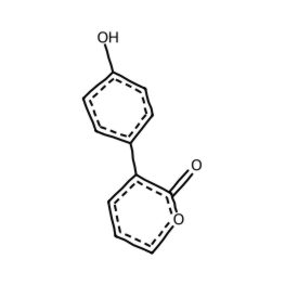 O=c1occcc1-c1ccc(O)cc1